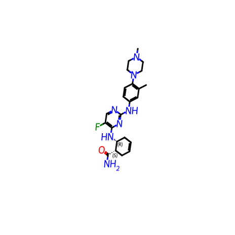 Cc1cc(Nc2ncc(F)c(N[C@@H]3CC=CC[C@@H]3C(N)=O)n2)ccc1N1CCN(C)CC1